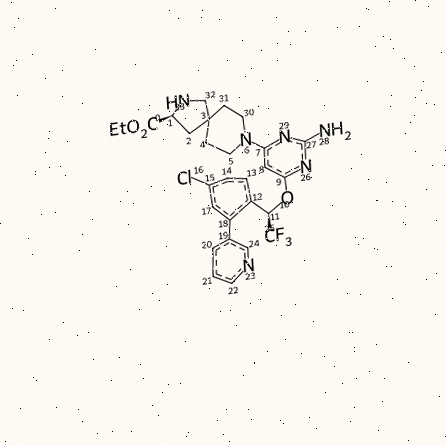 CCOC(=O)[C@@H]1CC2(CCN(c3cc(O[C@H](c4ccc(Cl)cc4-c4cccnc4)C(F)(F)F)nc(N)n3)CC2)CN1